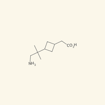 CC(C)(CN)C1CC(CC(=O)O)C1